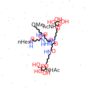 CCCCCCNC(=O)CCCC(=O)NC(CCC(=O)NC(CCC(=O)NCCCCCCO[C@@H]1O[C@H](CO)[C@H](O)[C@H](O)[C@H]1NC(C)=O)C(=O)NCCCCCCO[C@@H]1O[C@H](CO)[C@H](O)[C@H](O)[C@H]1NC(C)=O)C(=O)NCCCCCCOC